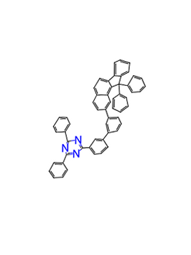 c1ccc(-c2nc(-c3ccccc3)nc(-c3cccc(-c4cccc(-c5ccc6ccc7c(c6c5)C(c5ccccc5)(c5ccccc5)c5ccccc5-7)c4)c3)n2)cc1